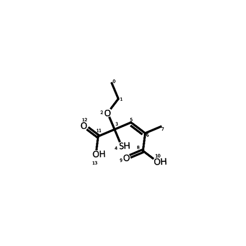 CCOC(S)(C=C(C)C(=O)O)C(=O)O